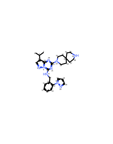 CC(C)c1cnn2c(NCc3ccccc3-n3cccn3)nc(N3CCC4(CCNCC4)CC3)nc12